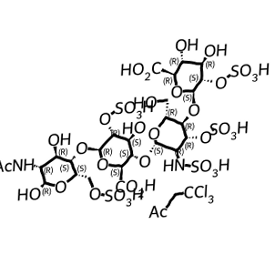 CC(=O)CC(Cl)(Cl)Cl.CC(=O)N[C@@H]1[C@@H](O)[C@H](O[C@@H]2O[C@H](C(=O)O)[C@@H](O[C@@H]3O[C@H](CO)[C@@H](O[C@H]4O[C@@H](C(=O)O)[C@H](O)[C@@H](O)[C@@H]4OS(=O)(=O)O)[C@H](OS(=O)(=O)O)[C@H]3NS(=O)(=O)O)[C@H](O)[C@H]2OS(=O)(=O)O)[C@H](COS(=O)(=O)O)O[C@H]1O